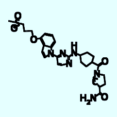 CS(=O)(=O)CCCOc1cccc2c1ccn2-c1ccnc(NC2CCC(C(=O)N3CCC(C(N)=O)CC3)CC2)n1